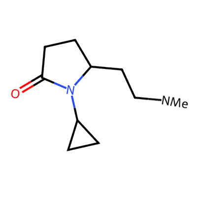 CNCCC1CCC(=O)N1C1CC1